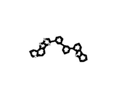 c1cc(-c2cccc(-c3cccc4c3sc3ccccc34)c2)cc(-c2cnc3sc4c5ccccc5ccc4c3n2)c1